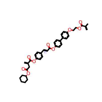 C=C(C)C(=O)OCCOc1ccc(-c2ccc(OC(=O)/C=C/c3ccc(OC(=O)C(=C)CC(=O)OC4CCCCC4)cc3)cc2)cc1